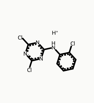 Clc1nc(Cl)nc(Nc2ccccc2Cl)n1.[H+]